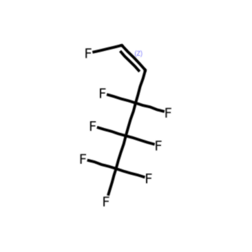 F/C=C\C(F)(F)C(F)(F)C(F)(F)F